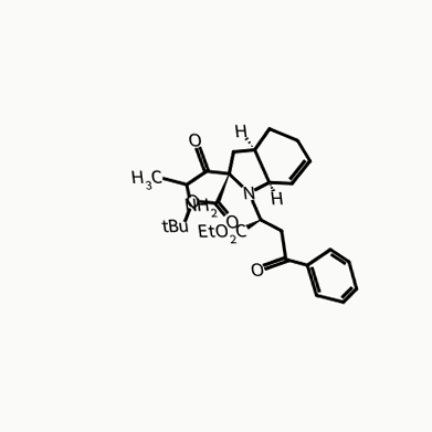 CCOC(=O)[C@H](CC(=O)c1ccccc1)N1[C@@H]2C=CCC[C@@H]2C[C@@]1(C(=O)OC(C)(C)C)C(=O)C(C)N